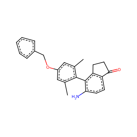 Cc1cc(OCc2ccccc2)cc(C)c1-c1c(N)ccc2c1CCC2=O